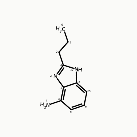 CCCc1nc2c(N)cccc2[nH]1